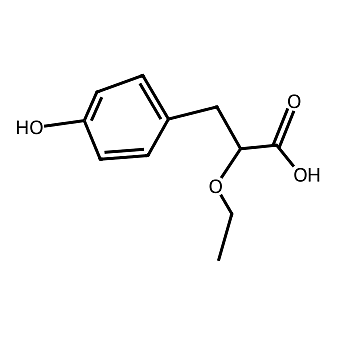 CCOC(Cc1ccc(O)cc1)C(=O)O